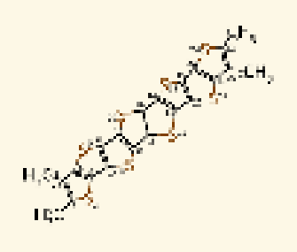 Cc1sc2c(sc3c4c(sc32)C2Sc3c(sc5c3sc3c(C)c(C)sc35)C2S4)c1C